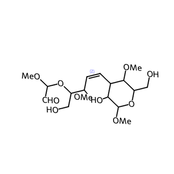 COC(C=O)OC(CO)C(/C=C\C1C(O)C(OC)OC(CO)C1OC)OC